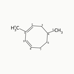 CC1=CCC(C)CCC=C1